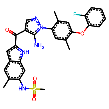 Cc1cc2cc(C(=O)c3cnn(-c4cc(C)c(Oc5ccccc5F)cc4C)c3N)[nH]c2cc1NS(C)(=O)=O